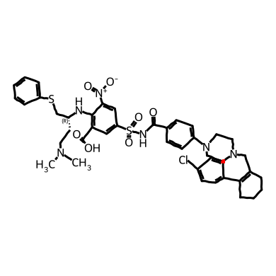 CN(C)CC[C@H](CSc1ccccc1)Nc1c(C(=O)O)cc(S(=O)(=O)NC(=O)c2ccc(N3CCN(CC4=C(c5ccc(Cl)cc5)CCCC4)CC3)cc2)cc1[N+](=O)[O-]